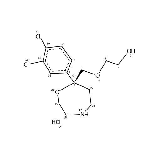 Cl.OCCOC[C@@]1(c2ccc(Cl)c(Cl)c2)CCNCCO1